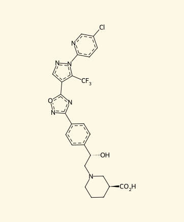 O=C(O)[C@H]1CCCN(C[C@@H](O)c2ccc(-c3noc(-c4cnn(-c5ccc(Cl)cn5)c4C(F)(F)F)n3)cc2)C1